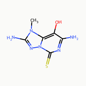 Cn1c(N)nn2c(=S)nc(N)c(O)c12